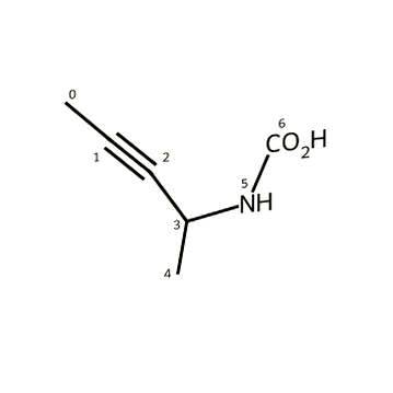 CC#CC(C)NC(=O)O